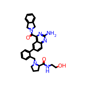 Nc1nc(C(=O)N2Cc3ccccc3C2)c2cc(-c3ccccc3CN3CCCC3C(=O)NCCO)ccc2n1